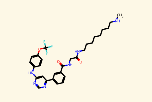 CNCCCCCCCCNC(=O)CNC(=O)c1cccc(-c2cc(Nc3ccc(OC(F)(F)F)cc3)ncn2)c1